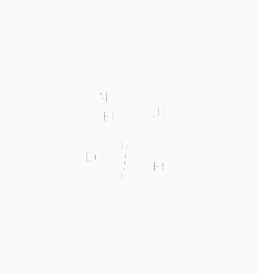 C[CH2][Ti]([CH3])([CH2]C)([CH2]C)[CH2]C.[Al]